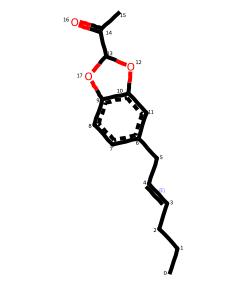 CCC/C=C/Cc1ccc2c(c1)OC(C(C)=O)O2